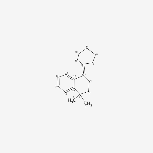 CC1(C)CCC(=C2CCCCC2)c2ccccc21